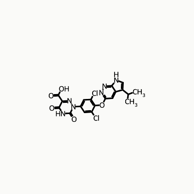 CC(C)c1c[nH]c2nnc(Oc3c(Cl)cc(-n4nc(C(=O)O)c(=O)[nH]c4=O)cc3Cl)cc12